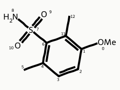 COc1ccc(C)c(S(N)(=O)=O)c1C